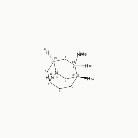 CN[C@@H]1C[C@@H]2CCCC[C@@H]1CN2N